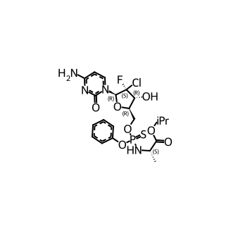 CC(C)OC(=O)[C@H](C)NP(=S)(OC[C@H]1O[C@@H](n2ccc(N)nc2=O)[C@@](F)(Cl)[C@@H]1O)Oc1ccccc1